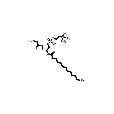 CCCCCCCCCCCCCCCCCCCCCC(=O)O[C@H](COC(=O)CCCCCCCCCCC)COP(=O)(O)OCC[N+](C)(C)C